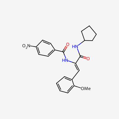 COc1ccccc1C=C(NC(=O)c1ccc([N+](=O)[O-])cc1)C(=O)NC1CCCC1